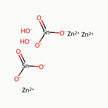 [OH-].[OH-].[O]=[Sn]([O-])[O-].[O]=[Sn]([O-])[O-].[Zn+2].[Zn+2].[Zn+2]